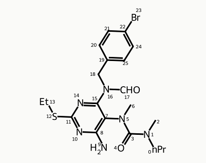 CCCN(C)C(=O)N(C)c1c(N)nc(SCC)nc1N(C=O)Cc1ccc(Br)cc1